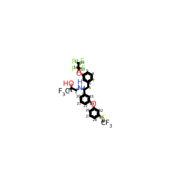 OC(CNC(Cc1cccc(OC(F)(F)C(F)F)c1)c1cccc(Oc2cccc(SC(F)(F)F)c2)c1)C(F)(F)F